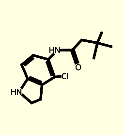 CC(C)(C)CC(=O)Nc1ccc2c(c1Cl)CCN2